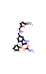 NC(=O)Oc1[nH]c2cc(CNCc3ccc([N+](=O)[O-])o3)ccc2c1Sc1ccccc1